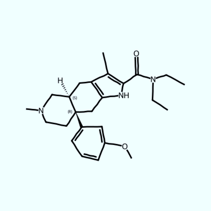 CCN(CC)C(=O)c1[nH]c2c(c1C)C[C@@H]1CN(C)CC[C@@]1(c1cccc(OC)c1)C2